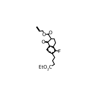 C=CCOC(=O)C1CCc2c(ccc(CCCC(=O)OCC)c2F)C1=O